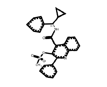 CS(=O)(=O)Oc1c(-c2ccccc2)nc2ccccc2c1C(=O)N[C@H](c1ccccc1)C1CC1